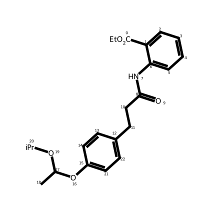 CCOC(=O)c1ccccc1NC(=O)CCc1ccc(OC(C)OC(C)C)cc1